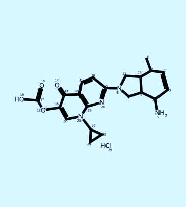 CC1C=CC(N)C2CN(c3ccc4c(=O)c(OC(=O)O)cn(C5CC5)c4n3)CC12.Cl